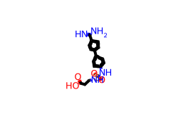 N=C(N)c1ccc(-c2ccc(NS(=O)(=O)NCCC(=O)O)cc2)cc1